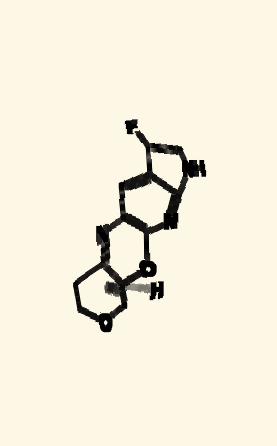 Fc1c[nH]c2nc3c(cc12)N=C1CCOC[C@@H]1O3